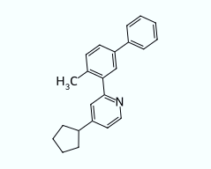 Cc1ccc(-c2ccccc2)cc1-c1cc(C2CCCC2)ccn1